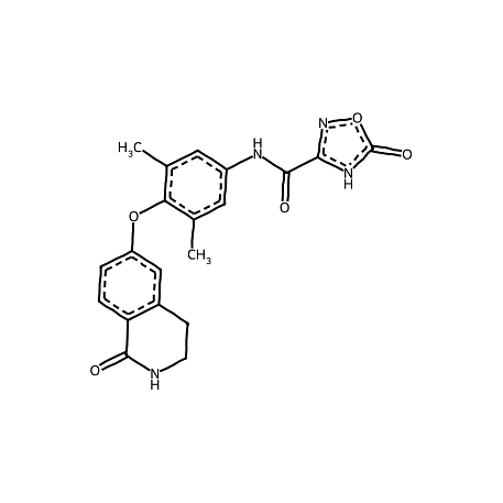 Cc1cc(NC(=O)c2noc(=O)[nH]2)cc(C)c1Oc1ccc2c(c1)CCNC2=O